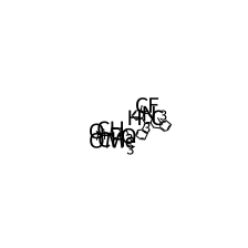 COC(=O)C(C)(C)c1ccc(COc2cccc(-c3c(Cc4ccccc4C)cnc4c(C(F)(F)F)cccc34)c2)cc1